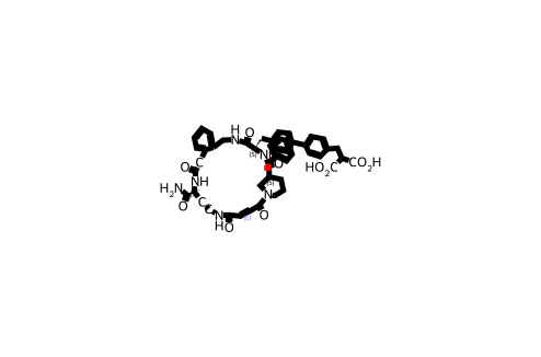 NC(=O)[C@@H]1CCNC(=O)/C=C/C(=O)N2CCC[C@](Cc3ccccc3)(C2)C(=O)N[C@@H](Cc2ccc(-c3ccc(CC(C(=O)O)C(=O)O)cc3)cc2)C(=O)NCc2ccccc2CC(=O)N1